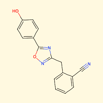 N#Cc1ccccc1Cc1noc(-c2ccc(O)cc2)n1